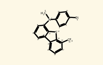 CCc1ccc(N(C)c2cccc3c2sc2c(C(F)(F)F)cccc23)cc1